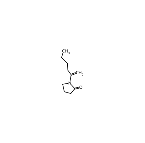 C=C(CCCC)N1CCCC1=O